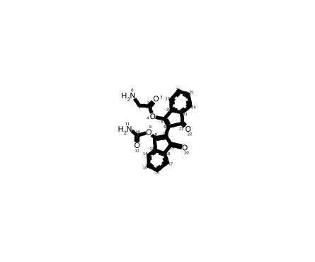 NCC(=O)OC1=C(C2=C(OC(N)=O)c3ccccc3C2=O)C(=O)c2ccccc21